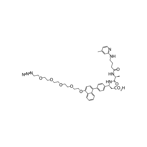 Cc1ccnc(NCCCC(=O)N[C@@H](C)C(=O)N[C@@H](CC(=O)O)c2ccc(-c3ccc(OCCOCCOCCOCCOCCN=[N+]=[N-])c4ccccc34)cc2)c1